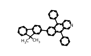 CC1(C)c2ccccc2-c2ccc(-c3ccc4c(-c5ccccc5)c5cnccc5c(-c5ccccc5)c4c3)cc21